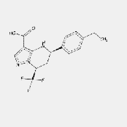 CCc1ccc([C@H]2C[C@@H](C(F)(F)F)n3ncc(C(=O)O)c3N2)cc1